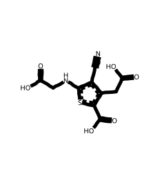 N#Cc1c(NCC(=O)O)sc(C(=O)O)c1CC(=O)O